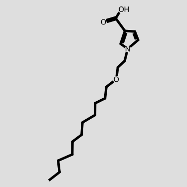 CCCCCCCCCCCOCCn1ccc(C(=O)O)c1